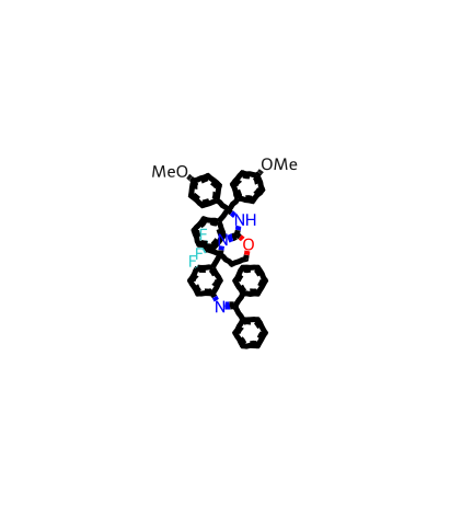 COc1ccc(C(NC2=NC(c3cc(N=C(c4ccccc4)c4ccccc4)ccc3F)(C(F)F)CCO2)(c2ccccc2)c2ccc(OC)cc2)cc1